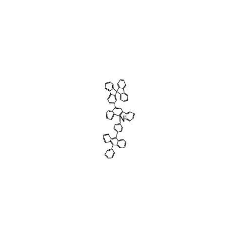 c1ccc(-c2c3ccccc3c(-c3ccc(-n4c5ccccc5c5cc(-c6ccc7c(c6)C6(c8ccccc8-c8ccccc86)c6ccccc6-7)c6ccccc6c54)cc3)c3ccccc23)cc1